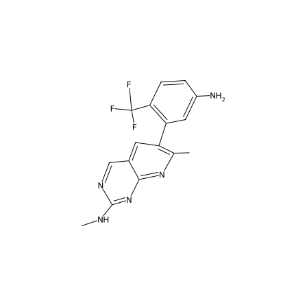 CNc1ncc2cc(-c3cc(N)ccc3C(F)(F)F)c(C)nc2n1